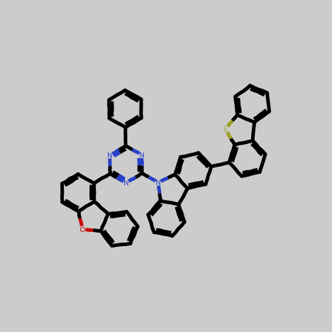 c1ccc(-c2nc(-c3cccc4oc5ccccc5c34)nc(-n3c4ccccc4c4cc(-c5cccc6c5sc5ccccc56)ccc43)n2)cc1